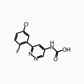 O=C(O)Nc1cnnc(-c2cc(Cl)ccc2F)c1